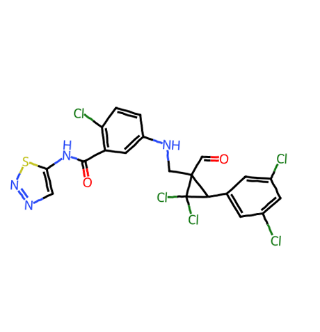 O=CC1(CNc2ccc(Cl)c(C(=O)Nc3cnns3)c2)C(c2cc(Cl)cc(Cl)c2)C1(Cl)Cl